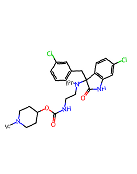 CC(=O)N1CCC(OC(=O)NCCN(C(C)C)C2(Cc3cccc(Cl)c3)C(=O)Nc3cc(Cl)ccc32)CC1